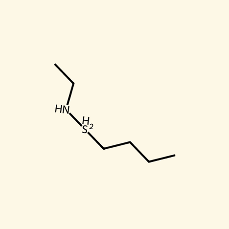 CCCC[SH2]NCC